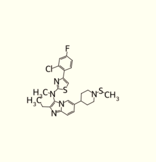 CCc1nc2ccc(C3CCN(SC)CC3)cn2c1N(C)c1nc(-c2ccc(F)cc2Cl)cs1